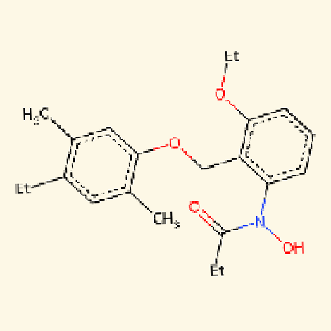 CCOc1cccc(N(O)C(=O)CC)c1COc1cc(C)c(CC)cc1C